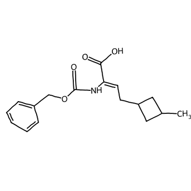 CC1CC(C/C=C(\NC(=O)OCc2ccccc2)C(=O)O)C1